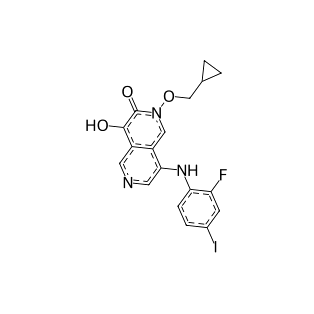 O=c1c(O)c2cncc(Nc3ccc(I)cc3F)c2cn1OCC1CC1